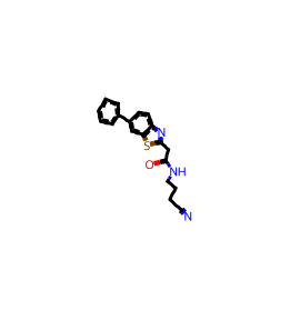 N#CCCCNC(=O)Cc1nc2ccc(-c3ccccc3)cc2s1